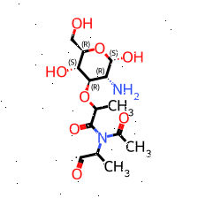 CC(=O)N(C(=O)C(C)O[C@@H]1[C@@H](N)[C@@H](O)O[C@H](CO)[C@H]1O)C(C)[C]=O